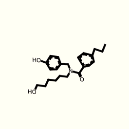 CCCc1ccc(C(=O)N(CCCCCCO)Cc2ccc(O)cc2)cc1